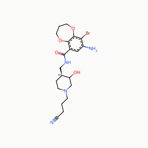 N#CCCCN1CC[C@@H](CNC(=O)c2cc(N)c(Br)c3c2OCCCO3)C(O)C1